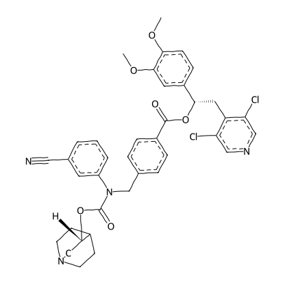 COc1ccc([C@H](Cc2c(Cl)cncc2Cl)OC(=O)c2ccc(CN(C(=O)O[C@H]3CN4CCC3CC4)c3cccc(C#N)c3)cc2)cc1OC